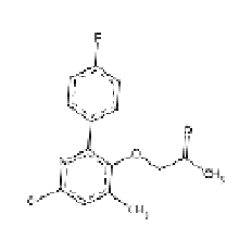 CC(=O)COc1c(C)cc(Cl)nc1-c1ccc(F)cc1